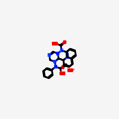 O=C(O)N(c1ccccc1)N1C=NCN(N(C(=O)O)c2ccccc2)C1C1[C+]=CC=CN1.[OH-]